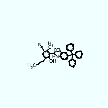 CCCCc1cc(C#N)c(C)c(C(=O)Nc2ccc(C(c3ccccc3)(c3ccccc3)c3ccccc3)cc2Cl)c1O